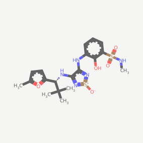 CNS(=O)(=O)c1cccc(Nc2n[s+]([O-])nc2N[C@@H](c2ccc(C)o2)C(C)(C)C)c1O